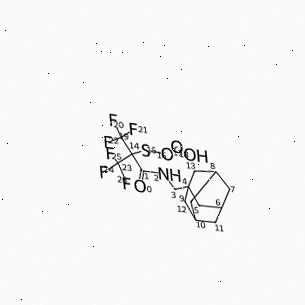 O=C(NCC12CC3CC(CC(C3)C1)C2)C(SOOO)(C(F)(F)F)C(F)(F)F